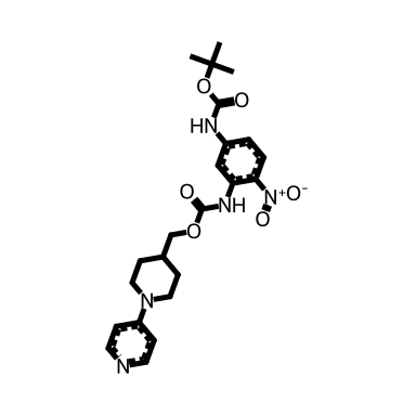 CC(C)(C)OC(=O)Nc1ccc([N+](=O)[O-])c(NC(=O)OCC2CCN(c3ccncc3)CC2)c1